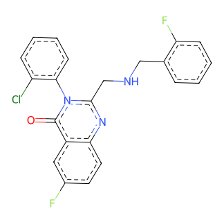 O=c1c2cc(F)ccc2nc(CNCc2ccccc2F)n1-c1ccccc1Cl